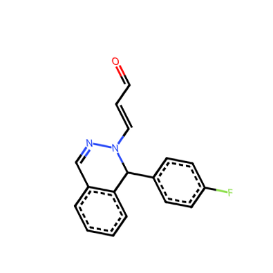 O=CC=CN1N=Cc2ccccc2C1c1ccc(F)cc1